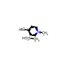 CCCCc1cc[n+](C)cc1.CS(=O)(=O)O